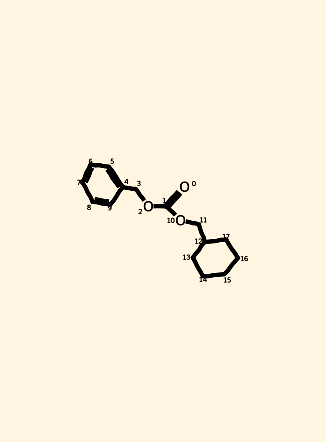 O=C(OCc1ccccc1)OCC1CCCCC1